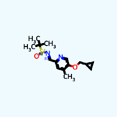 Cc1cc(/C=N/[S@+]([O-])C(C)(C)C)ncc1OCC1CC1